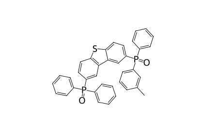 Cc1cccc(P(=O)(c2ccccc2)c2ccc3sc4ccc(P(=O)(c5ccccc5)c5ccccc5)cc4c3c2)c1